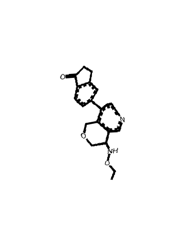 CCONC1COCc2c(-c3ccc4c(c3)CCC4=O)cncc21